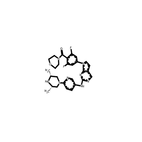 C[C@@H]1CN(c2ccc(Nc3ncc4ccn(-c5cc(F)c(C(=O)N6CCOCC6)c(F)c5)c4n3)cn2)C[C@H](C)N1